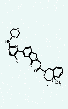 CC12C=CC=CC1CN(C(=O)CN1Cc3ccc(-c4nc(NC5CCOCC5)ncc4Cl)cc3C1=O)CCO2